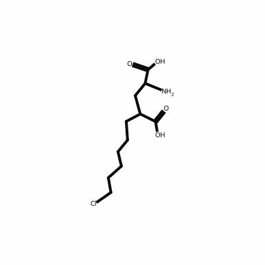 NC(CC(CCCCCCCl)C(=O)O)C(=O)O